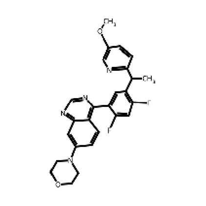 COc1ccc(C(C)c2cc(-c3ncnc4cc(N5CCOCC5)ccc34)c(F)cc2F)nc1